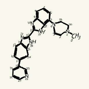 CN1CCN(c2cccc3nc(-c4nc5ccc(-c6cccnc6)cc5[nH]4)[nH]c23)CC1